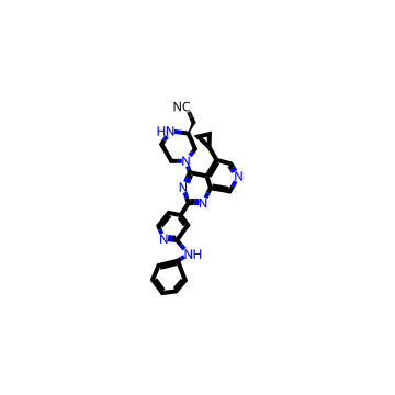 N#CC[C@H]1CN(c2nc(-c3ccnc(Nc4ccccc4)c3)nc3cncc(C4CC4)c23)CCN1